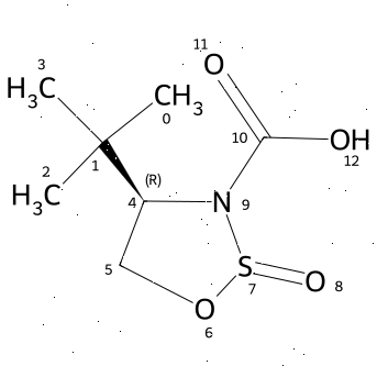 CC(C)(C)[C@@H]1COS(=O)N1C(=O)O